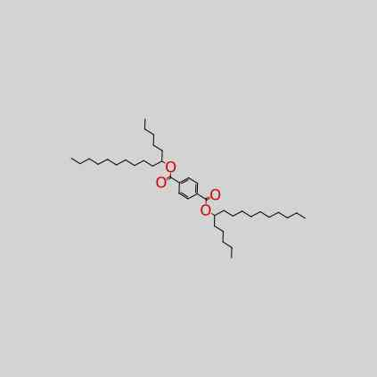 CCCCCCCCCCC(CCCCC)OC(=O)c1ccc(C(=O)OC(CCCCC)CCCCCCCCCC)cc1